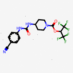 N#Cc1ccc(NC(=O)NC2CCN(C(=O)OC(C(F)(F)F)C(F)(F)F)CC2)cc1